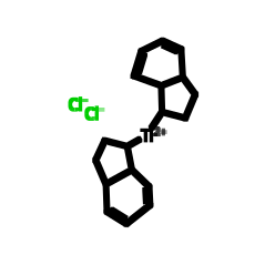 C1=CC2CC[CH]([Ti+2][CH]3CCC4C=CC=CC43)C2C=C1.[Cl-].[Cl-]